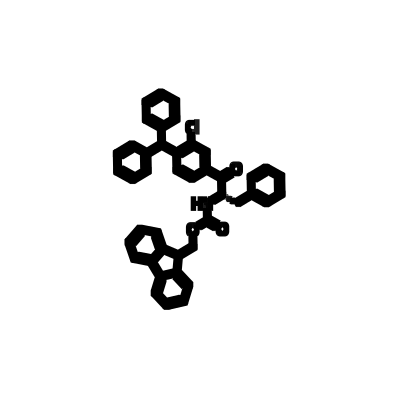 O=C(N[C@@H](Cc1ccccc1)C(=O)c1ccc([C](c2ccccc2)c2ccccc2)c(Cl)c1)OCC1c2ccccc2-c2ccccc21